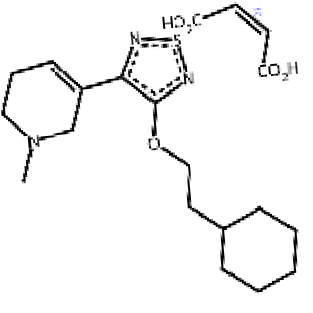 CN1CCC=C(c2nsnc2OCCC2CCCCC2)C1.O=C(O)/C=C\C(=O)O